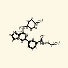 O=C(NCCO)c1cccc(-c2cn3ccnc3c(NC3CCC(O)CC3)n2)c1